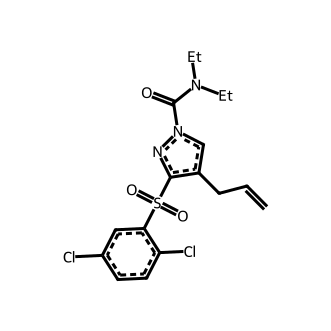 C=CCc1cn(C(=O)N(CC)CC)nc1S(=O)(=O)c1cc(Cl)ccc1Cl